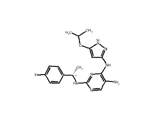 CC(C)Oc1cc(Nc2nc(N[C@@H](C)c3ccc(F)cc3)ncc2N)n[nH]1